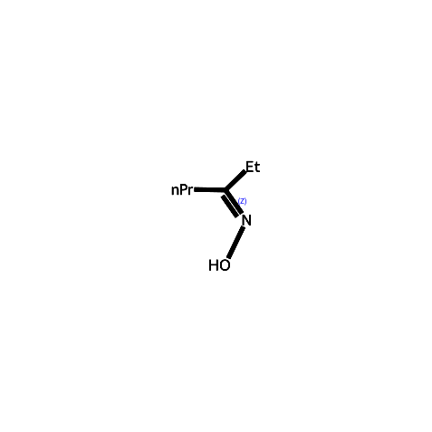 CCC/C(CC)=N\O